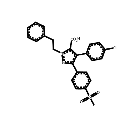 CS(=O)(=O)c1ccc(-c2nn(CCc3ccccc3)c(C(=O)O)c2-c2ccc(Cl)cc2)cc1